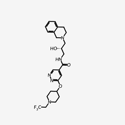 O=C(NC[C@H](O)CN1CCc2ccccc2C1)c1cnnc(OC2CCN(CC(F)(F)F)CC2)c1